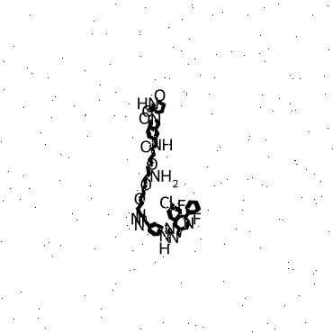 NC(COCCOCCn1cc(-c2ccc(Nc3ncc4c(n3)-c3ccc(Cl)cc3C(c3c(F)cccc3F)=NC4)cc2)nn1)COCCC(=O)Nc1ccc2c(c1)CN(C1CCC(=O)NC1=O)C2=O